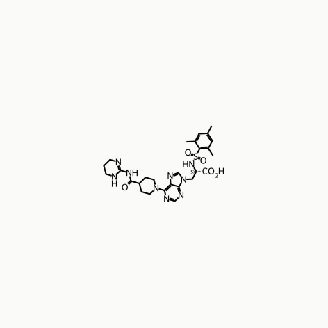 Cc1cc(C)c(S(=O)(=O)N[C@@H](Cn2cnc3c(N4CCC(C(=O)NC5=NCCCN5)CC4)ncnc32)C(=O)O)c(C)c1